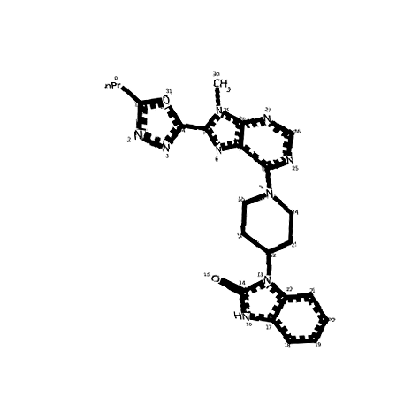 CCCc1nnc(-c2nc3c(N4CCC(n5c(=O)[nH]c6ccccc65)CC4)ncnc3n2C)o1